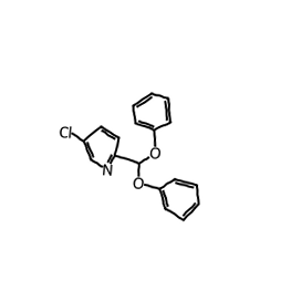 Clc1ccc(C(Oc2ccccc2)Oc2ccccc2)nc1